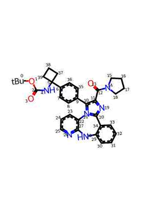 CC(C)(C)OC(=O)NC1(c2ccc(-c3c(C(=O)N4CCCC4)nc4n3-c3cccnc3Nc3ccccc3-4)cc2)CCC1